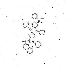 CCC1(CC)c2ccccc2-c2c1cc(N(c1ccccc1)c1ccc3c4c(n(-c5ccccc5)c3c1)-c1c(ccc3ccccc13)C4(C)C)c1oc3ccccc3c21